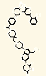 CCc1cn(C2CCN(CC3(F)CCN(C(=O)c4ccc([C@@H]5CN(c6cc(-c7ccccc7O)nnc6N)[C@H](C)CO5)cc4)CC3)CC2)c2ncc(N3CCC(=O)NC3=O)cc12